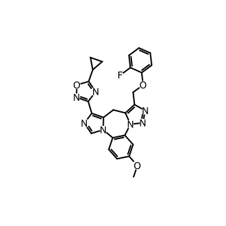 COc1ccc2c(c1)-n1nnc(COc3ccccc3F)c1Cc1c(-c3noc(C4CC4)n3)ncn1-2